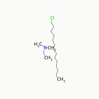 CCCCCCCCCCCCCCCl.CCN(C)C